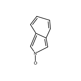 [O]n1cc2ccccc2c1